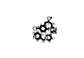 COC1Cc2cc(Cl)ccc2-n2c(nnc2[C@@H]2CCN(Cc3cccnc3)C2)C1